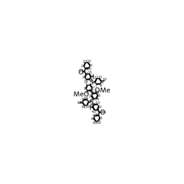 COc1ccc([SH](c2ccc(C)cc2)c2ccc(C(=O)c3ccccc3)cc2)cc1-c1cc([SH](c2ccc(C)cc2)c2ccc(C(=O)c3ccccc3)cc2)ccc1OC